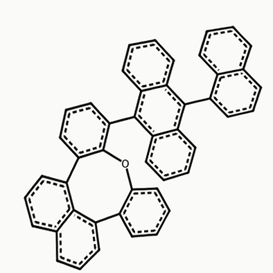 c1ccc2c(c1)Oc1c(-c3c4ccccc4c(-c4cccc5ccccc45)c4ccccc34)cccc1-c1cccc3cccc-2c13